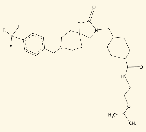 CC(C)OCCNC(=O)C1CCC(CN2CC3(CCN(Cc4ccc(C(F)(F)F)cc4)CC3)OC2=O)CC1